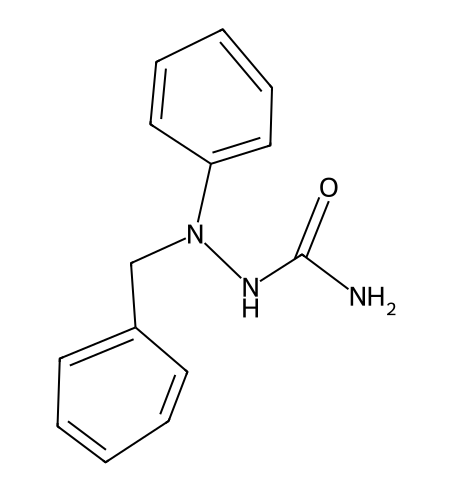 NC(=O)NN(Cc1ccccc1)c1ccccc1